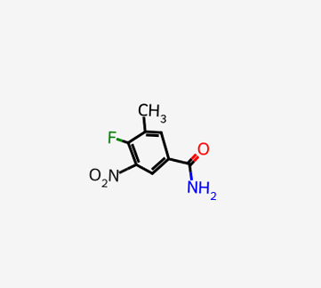 Cc1cc(C(N)=O)cc([N+](=O)[O-])c1F